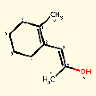 CC1=C(/C=C(\C)O)CCCC1